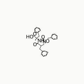 C[C@@](Cc1ccccc1)(NC(=O)C(Cc1ccccc1)CN(C=O)OCc1ccccc1)C(=O)O